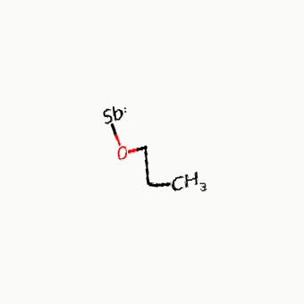 CCC[O][Sb]